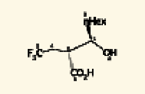 CCCCCC[C@@H](O)[C@@H](CC(F)(F)F)C(=O)O